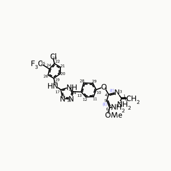 C=C(N)/N=C(\C=C(/N)OC)Oc1ccc(-c2nnc(Nc3ccc(Cl)c(C(F)(F)F)c3)[nH]2)cc1